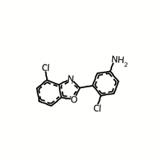 Nc1ccc(Cl)c(-c2nc3c(Cl)cccc3o2)c1